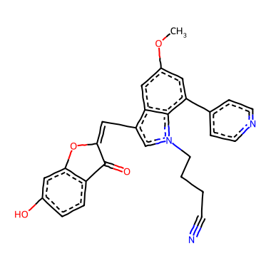 COc1cc(-c2ccncc2)c2c(c1)c(C=C1Oc3cc(O)ccc3C1=O)cn2CCCC#N